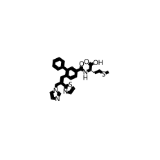 CSCC[C@H](NC(=O)c1ccc(C=C(Cn2ccnc2)c2nccs2)c(-c2ccccc2)c1)C(=O)O